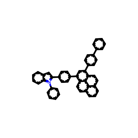 c1ccc(-c2ccc(-c3cc(-c4ccc(-c5cc6ccccc6n5-c5ccccc5)cc4)c4ccc5cccc6ccc3c4c65)cc2)cc1